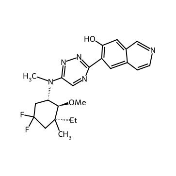 CC[C@]1(C)CC(F)(F)C[C@H](N(C)c2cnc(-c3cc4ccncc4cc3O)nn2)[C@H]1OC